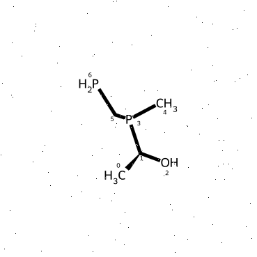 C[C@H](O)P(C)CP